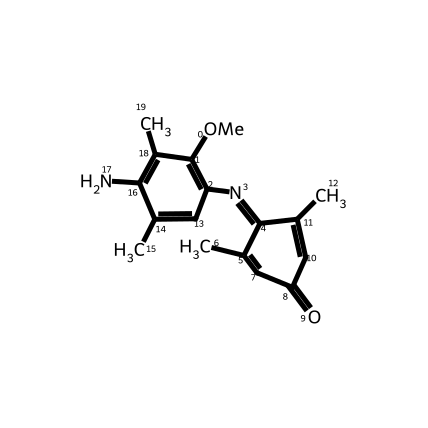 COc1c(N=C2C(C)=CC(=O)C=C2C)cc(C)c(N)c1C